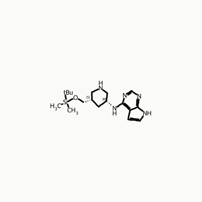 CC(C)(C)[Si](C)(C)OC[C@@H]1CNC[C@H](Nc2ncnc3[nH]ccc23)C1